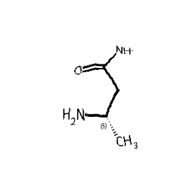 C[C@H](N)CC([NH])=O